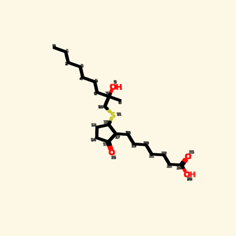 CCCCCCCC(C)(O)CSC1CCC(=O)C1CCCCCCC(=O)O